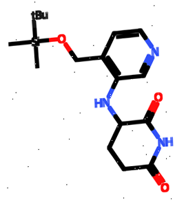 CC(C)(C)[Si](C)(C)OCc1ccncc1NC1CCC(=O)NC1=O